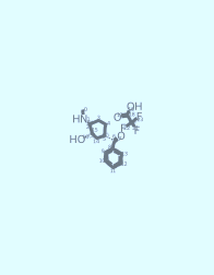 CN[C@@H]1CC[C@H](C(=O)c2ccccc2)C[C@@H]1O.O=C(O)C(F)(F)F